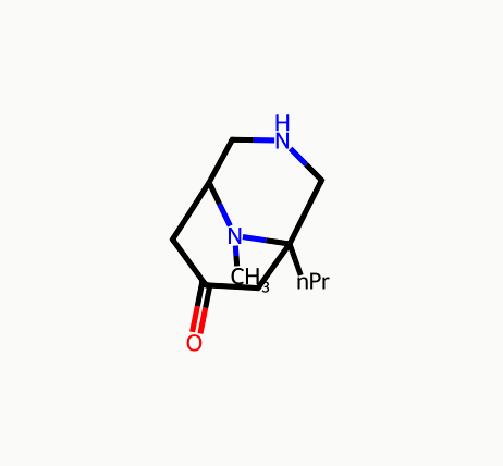 CCCC12CNCC(CC(=O)C1)N2C